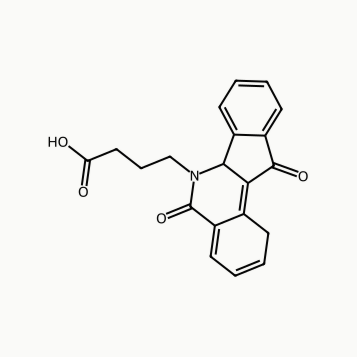 O=C(O)CCCN1C(=O)C2=CC=CCC2=C2C(=O)c3ccccc3C21